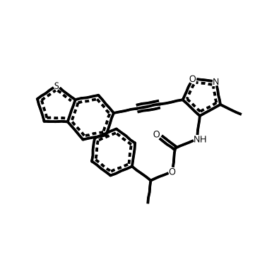 Cc1noc(C#Cc2ccc3ccsc3c2)c1NC(=O)OC(C)c1ccccc1